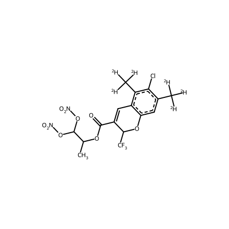 [2H]C([2H])([2H])c1cc2c(c(C([2H])([2H])[2H])c1Cl)C=C(C(=O)OC(C)C(O[N+](=O)[O-])O[N+](=O)[O-])C(C(F)(F)F)O2